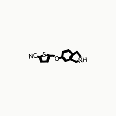 N#Cc1ccc(COc2ccc3c(c2)CNCC3)s1